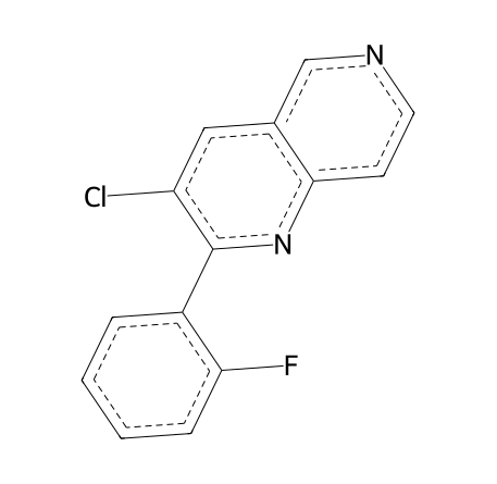 Fc1ccccc1-c1nc2ccncc2cc1Cl